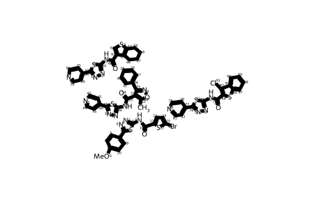 COc1ccc(-c2nnc(NC(=O)c3ccc(Br)s3)s2)cc1.Cc1onc(-c2ccccc2)c1C(=O)Nc1nnc(-c2ccncc2)s1.O=C(Nc1nnc(-c2ccncc2)s1)c1csc2c1CCCC2.O=C(Nc1nnc(-c2ccncc2)s1)c1sc2ccccc2c1Cl